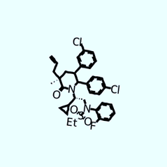 C=CC[C@@]1(C)CC(c2cccc(Cl)c2)C(c2ccc(Cl)cc2)N([C@H](CN(c2ccccc2F)S(=O)(=O)CC)C2CC2)C1=O